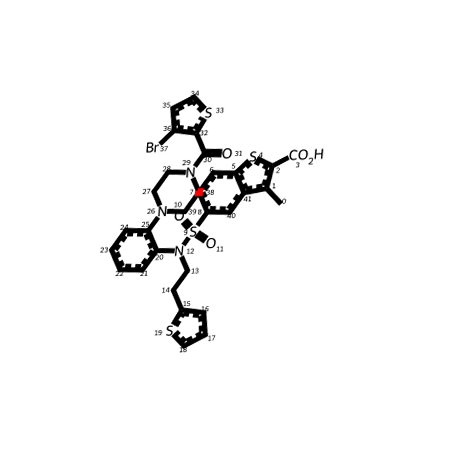 Cc1c(C(=O)O)sc2ccc(S(=O)(=O)N(CCc3cccs3)c3ccccc3N3CCN(C(=O)c4sccc4Br)CC3)cc12